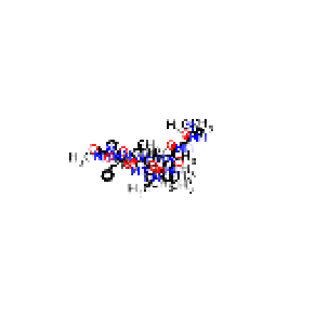 Cc1nc(C(=O)N2CCC[C@H]2C(=O)N[C@@H](CCC2CCCCC2)C(=O)N[C@@H](CC(C)C)C(=O)NC(C)(C)C(=O)N[C@@H](CC(C)C)C(=O)NC(CC(C)C)C(=O)NC(C)(C)C(=O)NC(C)(C)C(=O)NCCC(=O)NC2(CN(C)C)CCC2)co1